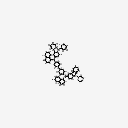 C1=CCC(n2c3ccccc3c3cc(N(c4ccc(-c5ccc(N(c6ccc7c(c6)C6C=CC=CC6N7c6ccccc6)c6cccc7ccccc67)cc5)cc4)c4cccc5ccccc45)ccc32)C=C1